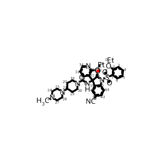 CCOc1ccccc1S(=O)(=O)N1C(=O)C(NC(=O)N2CCC(N3CCN(C)CC3)CC2)(c2cccnc2OCC)c2cc(C#N)ccc21